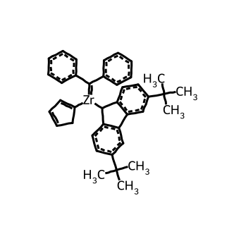 CC(C)(C)c1ccc2c(c1)-c1cc(C(C)(C)C)ccc1[CH]2[Zr]([C]1=CC=CC1)=[C](c1ccccc1)c1ccccc1